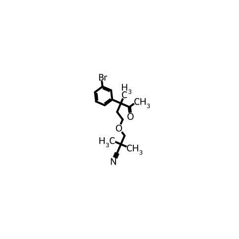 CC(=O)C(C)(CCOCC(C)(C)C#N)c1cccc(Br)c1